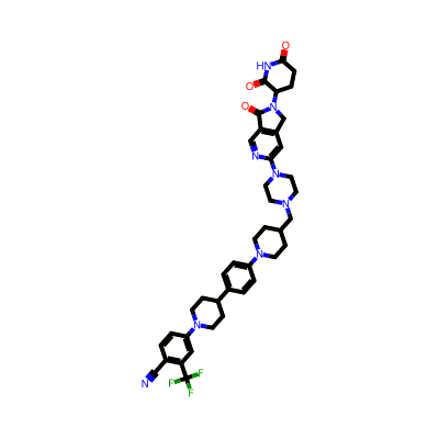 N#Cc1ccc(N2CCC(c3ccc(N4CCC(CN5CCN(c6cc7c(cn6)C(=O)N(C6CCC(=O)NC6=O)C7)CC5)CC4)cc3)CC2)cc1C(F)(F)F